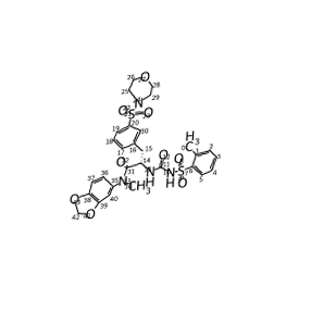 Cc1ccccc1S(=O)(=O)NC(=O)N[C@@H](Cc1cccc(S(=O)(=O)N2CCOCC2)c1)C(=O)N(C)c1ccc2c(c1)OCO2